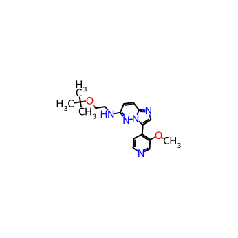 COc1cnccc1-c1cnc2ccc(NCCOC(C)(C)C)nn12